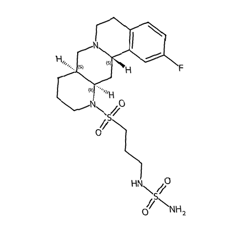 NS(=O)(=O)NCCCS(=O)(=O)N1CCC[C@H]2CN3CCc4ccc(F)cc4[C@@H]3C[C@H]21